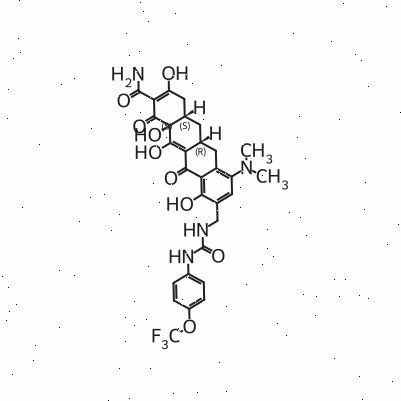 CN(C)c1cc(CNC(=O)Nc2ccc(OC(F)(F)F)cc2)c(O)c2c1C[C@H]1C[C@H]3CC(O)=C(C(N)=O)C(=O)[C@@]3(O)C(O)=C1C2=O